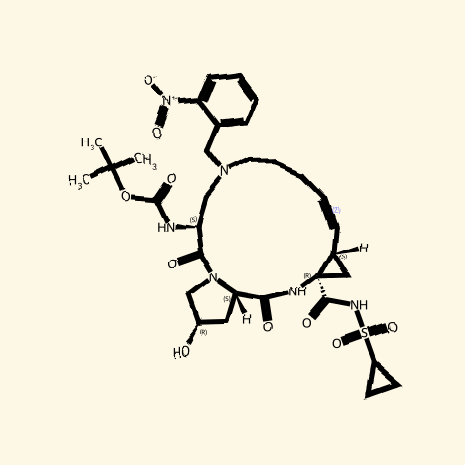 CC(C)(C)OC(=O)N[C@H]1CN(Cc2ccccc2[N+](=O)[O-])CCC/C=C\[C@@H]2C[C@@]2(C(=O)NS(=O)(=O)C2CC2)NC(=O)[C@@H]2C[C@@H](O)CN2C1=O